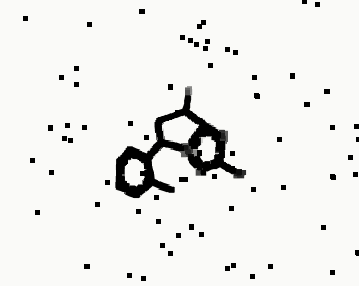 Cc1ccccc1C1CC(F)c2nc(Br)nn21